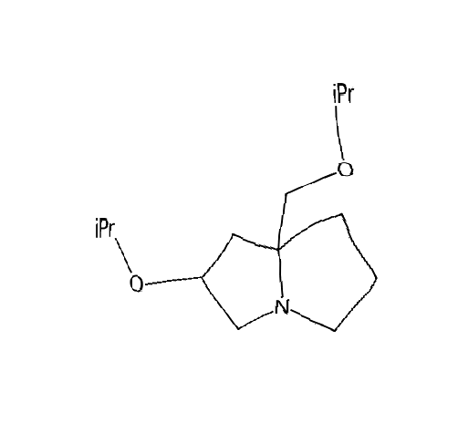 CC(C)OCC12CCCN1CC(OC(C)C)C2